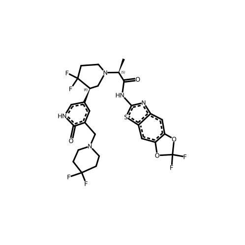 C[C@@H](C(=O)Nc1nc2cc3c(cc2s1)OC(F)(F)O3)N1CCC(F)(F)[C@H](c2c[nH]c(=O)c(CN3CCC(F)(F)CC3)c2)C1